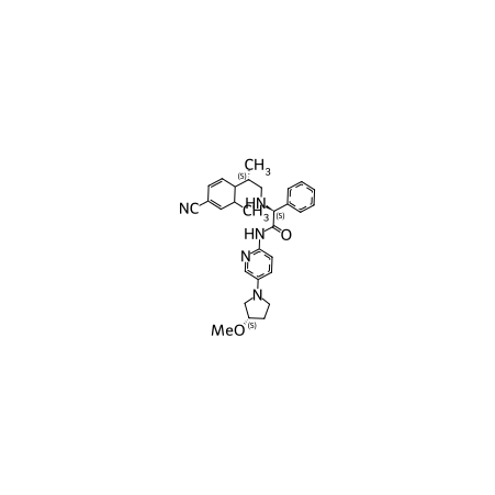 CO[C@H]1CCN(c2ccc(NC(=O)[C@@H](NC[C@@H](C)C3C=CC(C#N)=CC3C)c3ccccc3)nc2)C1